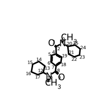 CN(C(=O)c1ccc(C(=O)N(C)C2CCCCC2)cc1)C1CCCCC1